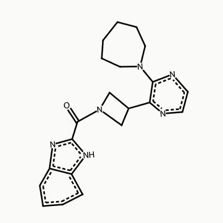 O=C(c1nc2ccccc2[nH]1)N1CC(c2nccnc2N2CCCCCC2)C1